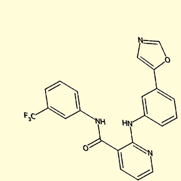 O=C(Nc1cccc(C(F)(F)F)c1)c1cccnc1Nc1cccc(-c2cnco2)c1